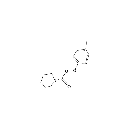 O=C(OOc1ccc(I)cc1)N1CCCCC1